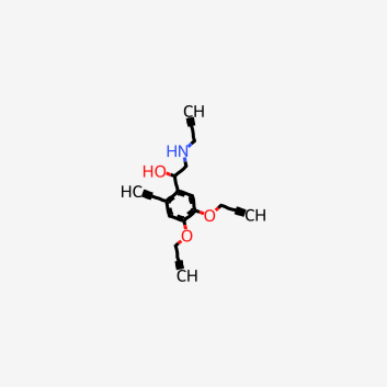 C#CCNCC(O)c1cc(OCC#C)c(OCC#C)cc1C#C